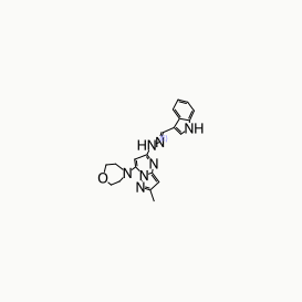 Cc1cc2nc(N/N=C/c3c[nH]c4ccccc34)cc(N3CCOCC3)n2n1